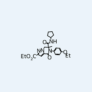 CCOC(=O)c1cc2n(n1)CC(C)(C(=O)NC1CCCC1)N(c1ccc(OCC)cc1)C2=O